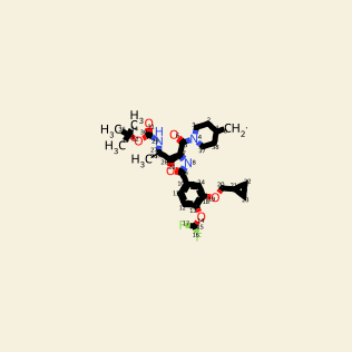 [CH2]C1CCN(C(=O)c2nc(-c3ccc(OC(F)F)c(OCC4CC4)c3)oc2[C@H](C)NC(=O)OC(C)(C)C)CC1